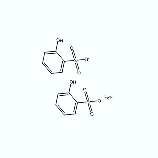 O=S(=O)([O-])c1ccccc1O.O=S(=O)([O-])c1ccccc1O.[Fe+2]